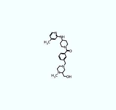 Cc1ccnc(NC2CCN(C(=O)c3cccc(CN4CCN(C)C(CO)C4)c3)CC2)c1